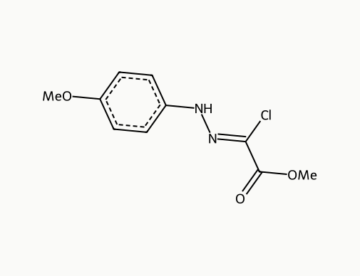 COC(=O)C(Cl)=NNc1ccc(OC)cc1